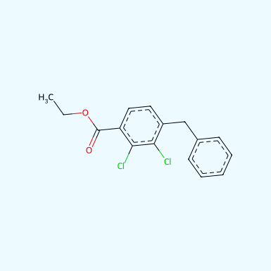 CCOC(=O)c1ccc(Cc2ccccc2)c(Cl)c1Cl